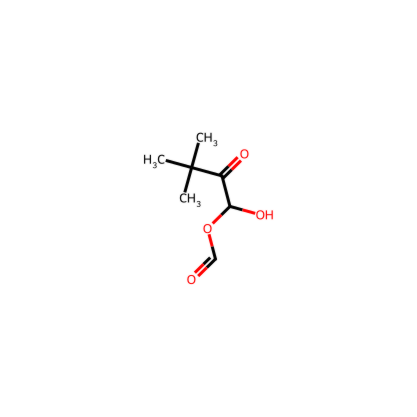 CC(C)(C)C(=O)C(O)OC=O